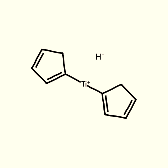 C1=CC[C]([Ti+][C]2=CC=CC2)=C1.[H-]